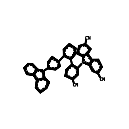 N#Cc1ccc(-c2ccccc2-c2ccc(-n3c4ccccc4c4ccccc43)cc2)c(-n2c3ccc(C#N)cc3c3ccc(C#N)cc32)c1